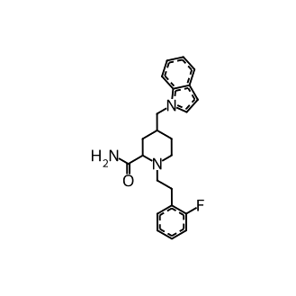 NC(=O)C1CC(Cn2ccc3ccccc32)CCN1CCc1ccccc1F